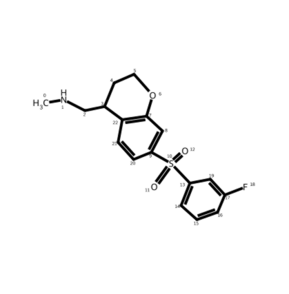 CNCC1CCOc2cc(S(=O)(=O)c3cccc(F)c3)ccc21